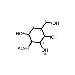 CC(=O)NC1C(O)CC(CO)C(O)C1O